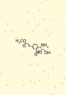 COC(=O)C=Cc1ccc(C(N)CCO)c([N+](=O)[O-])c1